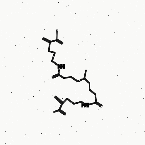 C=C(CCCC(C)CCCC(=C)NCCCC(=C)C(=C)C)NCCCC(=C)C(=C)C